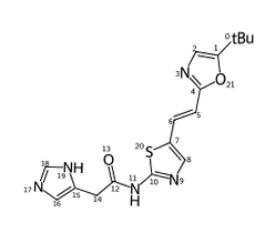 CC(C)(C)c1cnc(C=Cc2cnc(NC(=O)Cc3cnc[nH]3)s2)o1